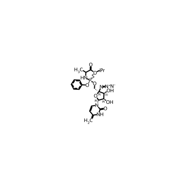 C=C1C=CN([C@@H]2O[C@@](COP(=S)(NC(C)C(=O)OC(C)C)Oc3ccccc3)(N=[N+]=[N-])[C@@H](O)[C@H]2O)C(=O)N1